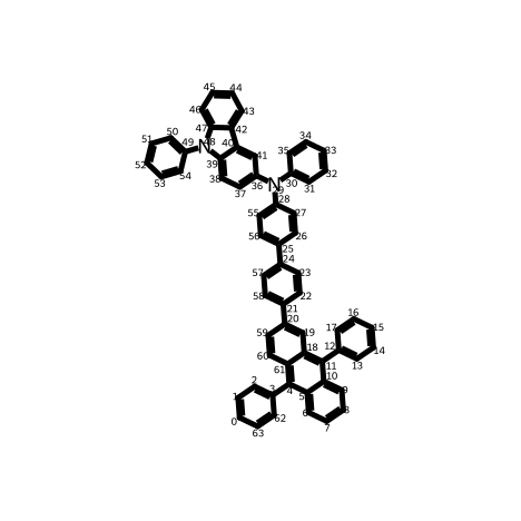 c1ccc(-c2c3ccccc3c(-c3ccccc3)c3cc(-c4ccc(-c5ccc(N(c6ccccc6)c6ccc7c(c6)c6ccccc6n7-c6ccccc6)cc5)cc4)ccc23)cc1